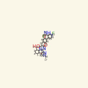 CCc1cccc(CC)c1-n1c(-c2ccn(CC)n2)nc(=O)c(Cc2ccc(-c3ccc(F)cc3C(N)=O)c(F)c2)c1O